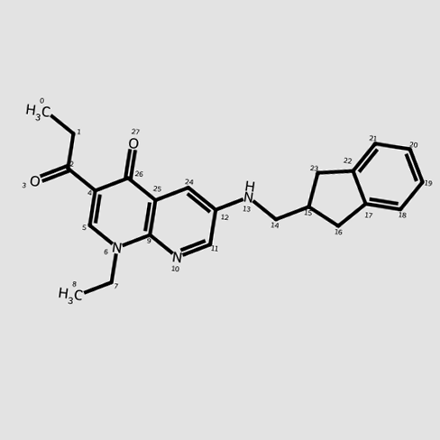 CCC(=O)c1cn(CC)c2ncc(NCC3Cc4ccccc4C3)cc2c1=O